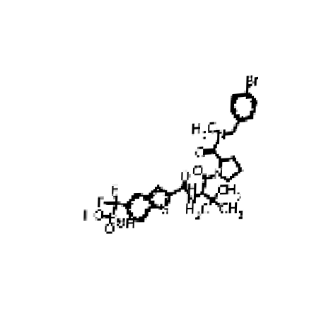 CN(Cc1ccc(Br)cc1)C(=O)C1CCCN1C(=O)C(NC(=O)c1cc2cc(C(F)(F)P(=O)(O)O)ccc2s1)C(C)(C)C